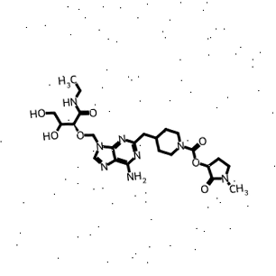 CCNC(=O)[C@@H](OCn1cnc2c(N)nc(CC3CCN(C(=O)OC4CCN(C)C4=O)CC3)nc21)C(O)CO